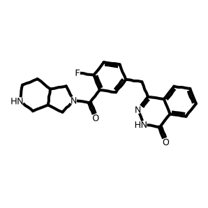 O=C(c1cc(Cc2n[nH]c(=O)c3ccccc23)ccc1F)N1CC2CCNCC2C1